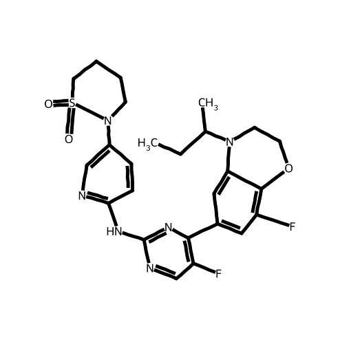 CCC(C)N1CCOc2c(F)cc(-c3nc(Nc4ccc(N5CCCCS5(=O)=O)cn4)ncc3F)cc21